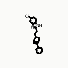 Clc1ccc2[nH]c(CCC3CC4CC3CC4c3ccccc3)nc2c1